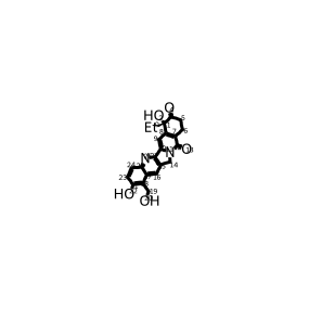 CC[C@@]1(O)C(=O)CCc2c1cc1n(c2=O)Cc2cc3c(CO)c(O)ccc3nc2-1